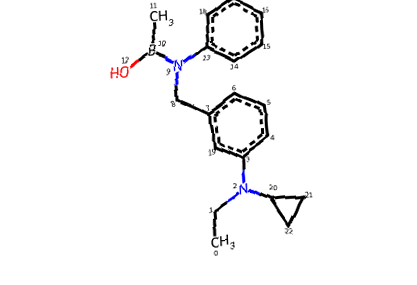 CCN(c1cccc(CN(B(C)O)c2ccccc2)c1)C1CC1